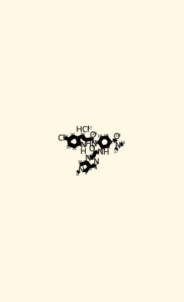 CN1Cc2cnc(C(=O)N[C@@H]3C[C@@H](C(=O)N(C)C)CC[C@@H]3NC(=O)c3cc4cc(Cl)ccc4[nH]3)nc2C1.Cl